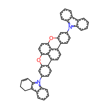 C1=Cc2c(c3ccccc3n2-c2ccc3c(c2)Oc2ccc4c5c(ccc-3c25)-c2ccc(-n3c5ccccc5c5ccccc53)cc2O4)CC1